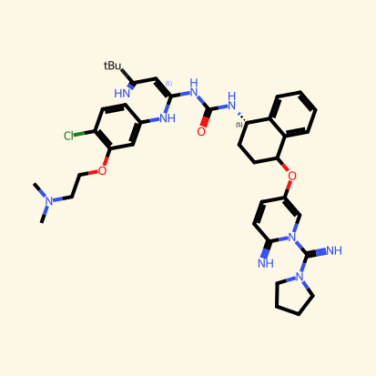 CN(C)CCOc1cc(N/C(=C\C(=N)C(C)(C)C)NC(=O)N[C@H]2CCC(Oc3ccc(=N)n(C(=N)N4CCCC4)c3)c3ccccc32)ccc1Cl